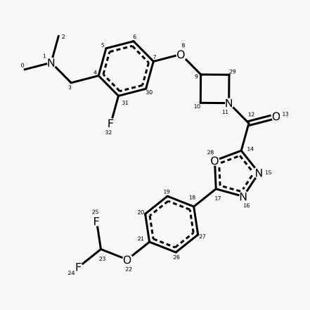 CN(C)Cc1ccc(OC2CN(C(=O)c3nnc(-c4ccc(OC(F)F)cc4)o3)C2)cc1F